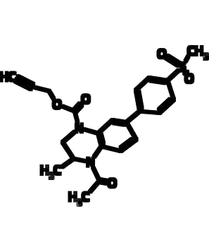 C#CCOC(=O)N1CC(C)N(C(C)=O)c2ccc(-c3ccc(S(C)(=O)=O)cc3)cc21